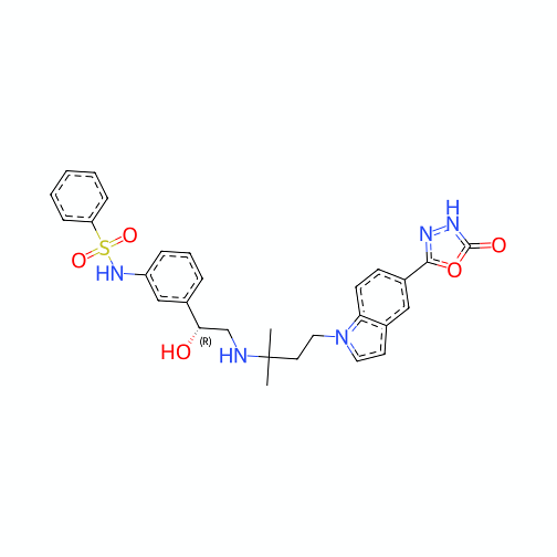 CC(C)(CCn1ccc2cc(-c3n[nH]c(=O)o3)ccc21)NC[C@H](O)c1cccc(NS(=O)(=O)c2ccccc2)c1